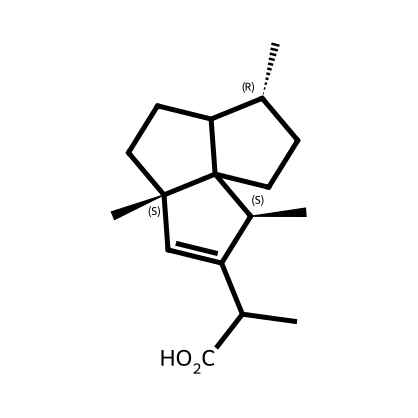 CC(C(=O)O)C1=C[C@]2(C)CCC3[C@H](C)CCC32[C@H]1C